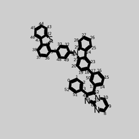 c1ccc(-c2nc3ncccn3c2-c2cccc(-c3ccc4c(c3)c3ccccc3n4-c3ccc(-c4cccc5c4sc4ccccc45)cc3)c2)cc1